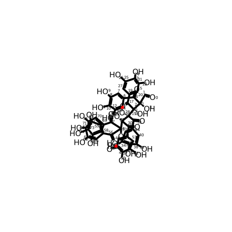 O=C[C@@](O)(C(=O)c1cc(O)c(O)c(O)c1)[C@](O)(C(=O)c1cc(O)c(O)c(O)c1)[C@@](O)(C(=O)c1cc(O)c(O)c(O)c1)[C@@](O)(C(=O)c1cc(O)c(O)c(O)c1)C(O)(C(=O)c1cc(O)c(O)c(O)c1)C(=O)c1cc(O)c(O)c(O)c1